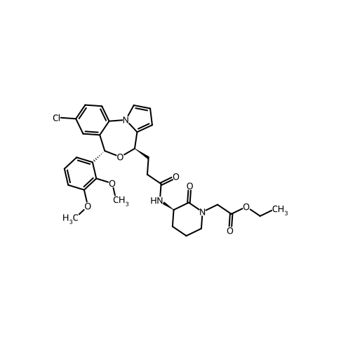 CCOC(=O)CN1CCC[C@@H](NC(=O)CC[C@H]2O[C@H](c3cccc(OC)c3OC)c3cc(Cl)ccc3-n3cccc32)C1=O